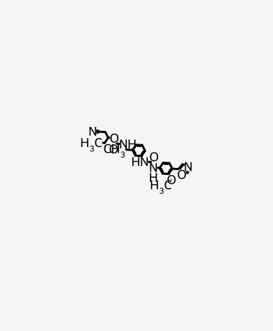 COc1cc(NC(=O)Nc2cccc(CNC(=O)OC(CC#N)C(C)C)c2)ccc1-c1cnco1